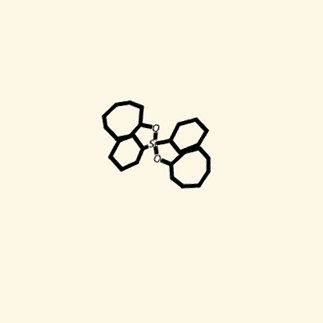 C1CCCC(O[Si](OC2CCCCCCC2)(C2CCCCC2)C2CCCCC2)CCC1